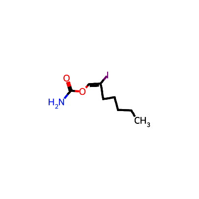 CCCCC/C(I)=C\OC(N)=O